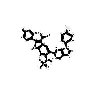 CNC(=O)c1c(-c2ccc(F)cc2)oc2cc(N(C)S(C)(=O)=O)c(-c3ncc4ncn(-c5ccc(C(F)(F)F)cc5)c4n3)cc12